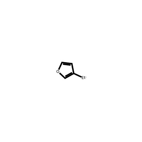 C[C]c1ccoc1